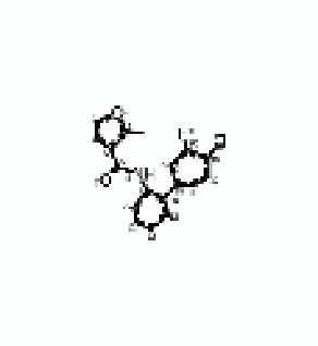 Cc1occc1C(=O)Nc1ccccc1-c1ccc(Cl)c(F)c1